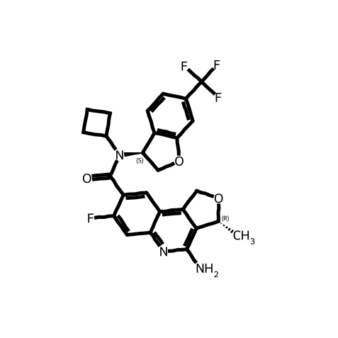 C[C@H]1OCc2c1c(N)nc1cc(F)c(C(=O)N(C3CCC3)[C@@H]3COc4cc(C(F)(F)F)ccc43)cc21